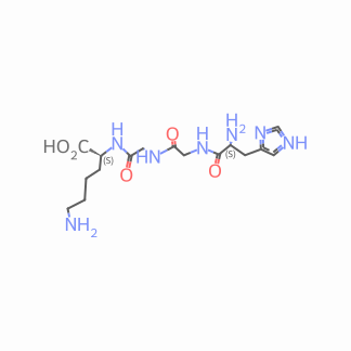 NCCCC[C@H](NC(=O)CNC(=O)CNC(=O)[C@@H](N)Cc1c[nH]cn1)C(=O)O